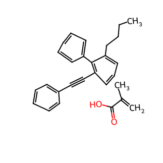 C=C(C)C(=O)O.CCCCc1cccc(C#Cc2ccccc2)c1-c1ccccc1